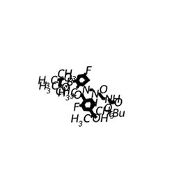 Cc1c(B2OC(C)(C)C(C)(C)O2)cc(F)cc1N(CNC(=O)CNC(=O)OC(C)(C)C)C(=O)c1ccc(C(C)(C)O)cc1F